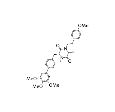 COc1ccc(CCN2C(=O)[C@H](Cc3ccc(-c4cc(OC)c(OC)c(OC)c4)cc3)N(C)C(=O)[C@@H]2C)cc1